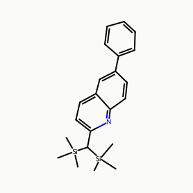 C[Si](C)(C)C(c1ccc2cc(-c3ccccc3)ccc2n1)[Si](C)(C)C